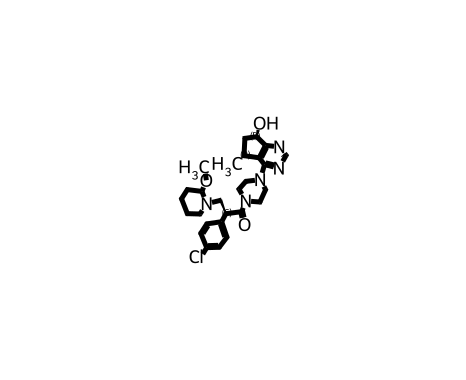 COC1CCCCN1C[C@@H](C(=O)N1CCN(c2ncnc3c2[C@H](C)C[C@H]3O)CC1)c1ccc(Cl)cc1